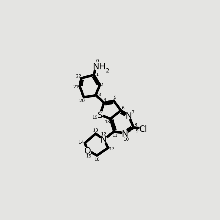 NC1=CC(c2cc3nc(Cl)nc(N4CCOCC4)c3s2)CC=C1